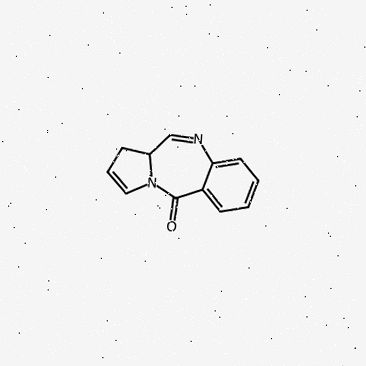 O=C1c2ccccc2N=CC2CC=CN12